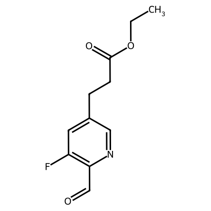 CCOC(=O)CCc1cnc(C=O)c(F)c1